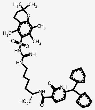 Cc1c(C)c(S(=O)(=O)NC(=N)NCCCC[C@H](NC(=O)c2ccc(C(c3ccccc3)c3ccccc3)[nH]c2=O)C(=O)O)c(C)c2c1OC(C)(C)CC2